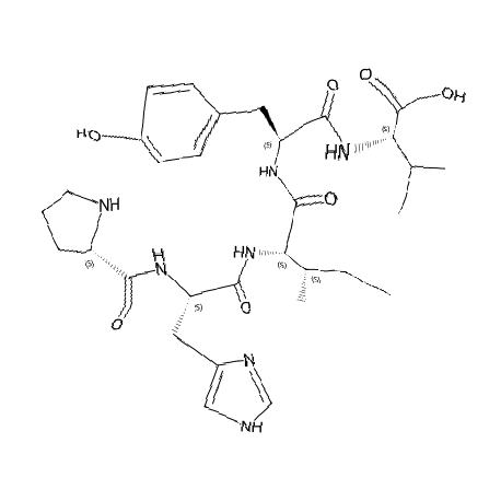 CC[C@H](C)[C@H](NC(=O)[C@H](Cc1c[nH]cn1)NC(=O)[C@@H]1CCCN1)C(=O)N[C@@H](Cc1ccc(O)cc1)C(=O)N[C@H](C(=O)O)C(C)C